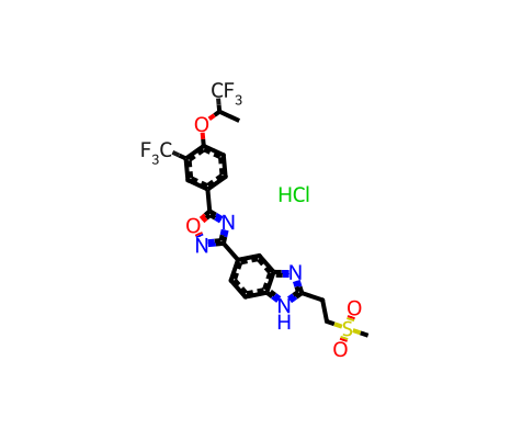 CC(Oc1ccc(-c2nc(-c3ccc4[nH]c(CCS(C)(=O)=O)nc4c3)no2)cc1C(F)(F)F)C(F)(F)F.Cl